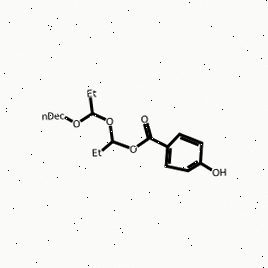 CCCCCCCCCCOC(CC)OC(CC)OC(=O)c1ccc(O)cc1